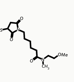 COCCN(C)C(=O)CCCCCN1C(=O)CC(S)C1=O